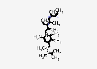 C=C(CN1C(=C)C(C)=C(CN(C)N(C)C(=C)C)C=C1N)/C(CC)=C(C)/C=C(C)\C=C/C